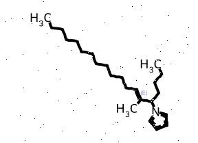 CCCCCCCCCCCC/C=C(\C)C(CCCC)n1cccc1